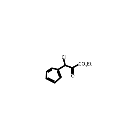 CCOC(=O)C(=O)C(Cl)c1ccccc1